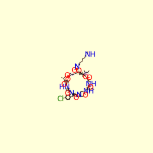 C/C=C(\C)[C@H]1OC(=O)C(C)(C)NC(=O)[C@H](C(C)CC)NC(=O)CN(C)C(=O)[C@@H](Cc2ccc(Cl)cc2)N(C)C(=O)[C@H](C)NC(=O)[C@@H](CC(C)C)OC(=O)/C(C)=C/C[C@H](OC(=O)N(C)CCCCCCNC)[C@@H]1C